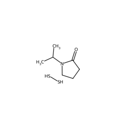 CC(C)N1CCCC1=O.SS